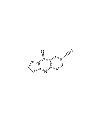 N#Cc1ccc2nc3cscc3c(=O)n2c1